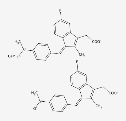 CC1=C(CC(=O)[O-])c2cc(F)ccc2C1=Cc1ccc([S+](C)[O-])cc1.CC1=C(CC(=O)[O-])c2cc(F)ccc2C1=Cc1ccc([S+](C)[O-])cc1.[Ca+2]